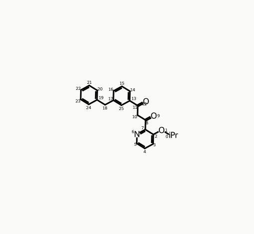 CC(C)Oc1cccnc1C(=O)CC(=O)c1cccc(Cc2ccccc2)c1